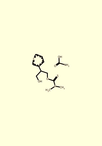 CN(C)C(=S)OCC(CO)c1ccccc1.NC(=O)O